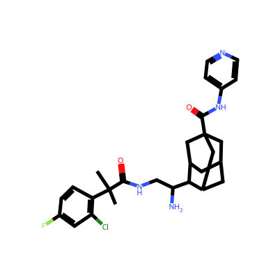 CC(C)(C(=O)NCC(N)C1C2CC3CC1CC(C(=O)Nc1ccncc1)(C3)C2)c1ccc(F)cc1Cl